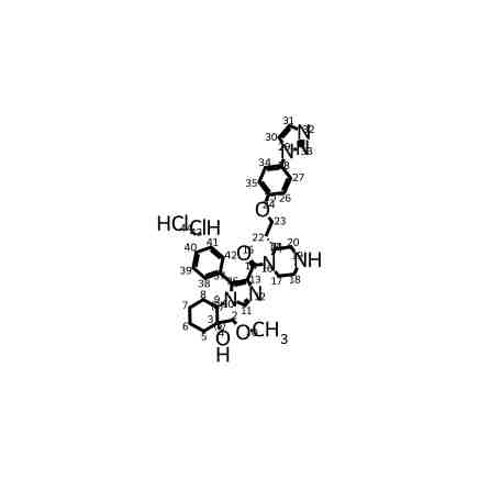 COC[C@]1(O)CCCC[C@H]1n1cnc(C(=O)N2CCNC[C@H]2CCOc2ccc(-n3ccnn3)cc2)c1-c1ccccc1.Cl.Cl